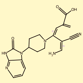 C=C(/C=C(\C(C#N)=C/N)N1CCC(n2c(=O)[nH]c3ncccc32)CC1)C(=O)O